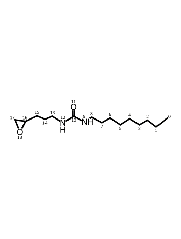 CCCCCCCCCNC(=O)NCCCC1CO1